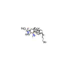 CCCC1C(N(C)C)[C@@]2(C)C(=CC[C@H]3[C@@H]4CC[C@H]([C@H](C)CCCC(C)C)[C@@]4(C)CC[C@@H]32)C[C@]1(C(=O)O)N(C)C